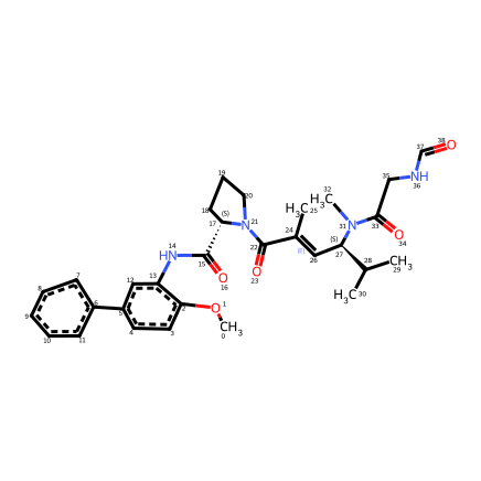 COc1ccc(-c2ccccc2)cc1NC(=O)[C@@H]1CCCN1C(=O)/C(C)=C/[C@H](C(C)C)N(C)C(=O)CNC=O